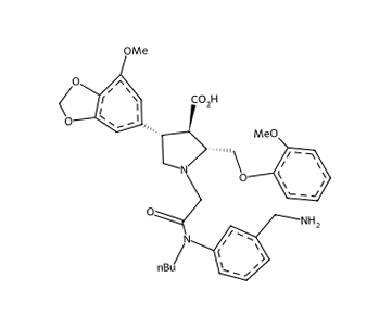 CCCCN(C(=O)CN1C[C@H](c2cc(OC)c3c(c2)OCO3)[C@@H](C(=O)O)[C@@H]1COc1ccccc1OC)c1cccc(CN)c1